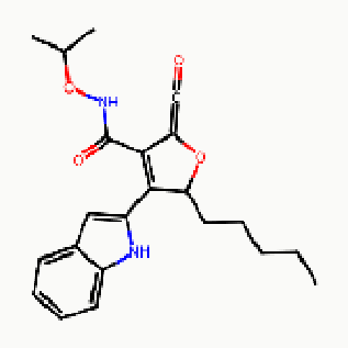 CCCCCC1OC(=C=O)C(C(=O)NOC(C)C)=C1c1cc2ccccc2[nH]1